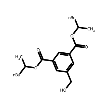 CCCCC(C)OC(=O)c1cc(CO)cc(C(=O)OC(C)CCCC)c1